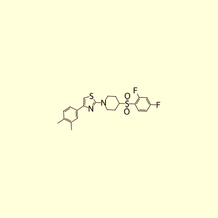 Cc1ccc(-c2csc(N3CCC(S(=O)(=O)c4ccc(F)cc4F)CC3)n2)cc1C